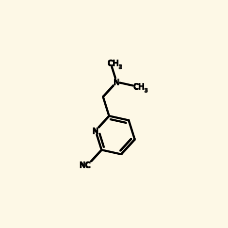 CN(C)Cc1cccc(C#N)n1